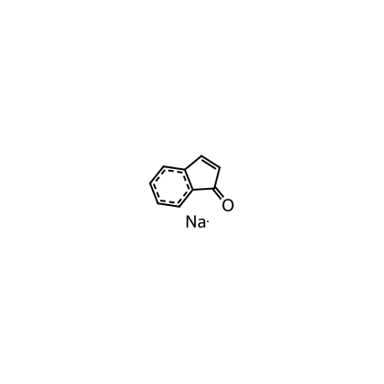 O=C1C=Cc2ccccc21.[Na]